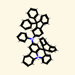 c1ccc(N(c2ccc3c(c2)C(c2ccccc2)(c2ccccc2)c2ccccc2-3)c2cc3c4c(c2)c2ccccc2n4-c2ccccc2C32c3ccccc3-c3ccccc32)cc1